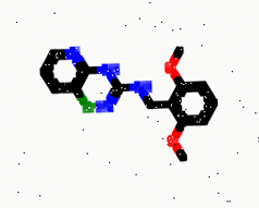 COc1cccc(OC)c1CNC(=N)Nc1ncccc1Br